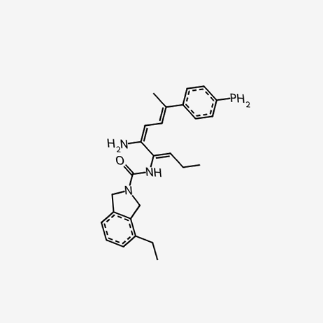 CC/C=C(NC(=O)N1Cc2cccc(CC)c2C1)/C(N)=C\C=C(/C)c1ccc(P)cc1